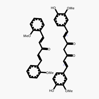 COc1cc(/C=C/C(=O)CC(=O)/C=C/c2ccc(O)c(OC)c2)ccc1O.COc1ccccc1C=CC(=O)C=Cc1ccccc1OC